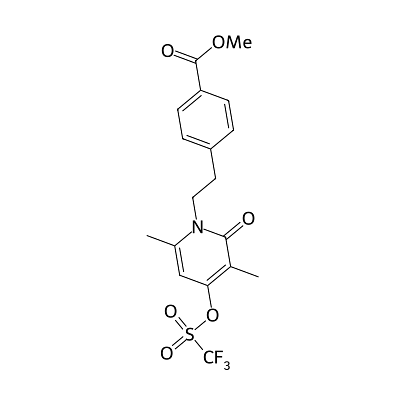 COC(=O)c1ccc(CCn2c(C)cc(OS(=O)(=O)C(F)(F)F)c(C)c2=O)cc1